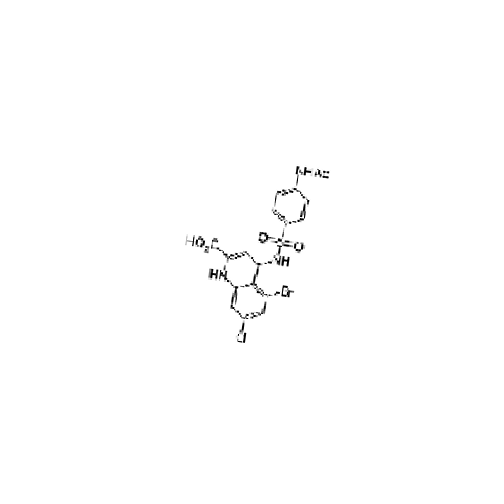 CC(=O)Nc1ccc(S(=O)(=O)NC2C=C(C(=O)O)Nc3cc(Cl)cc(Br)c32)cc1